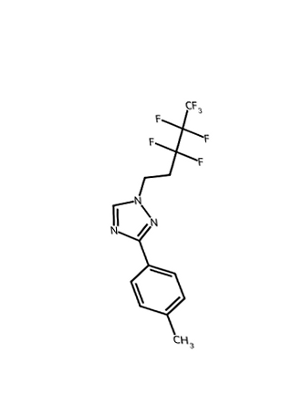 Cc1ccc(-c2ncn(CCC(F)(F)C(F)(F)C(F)(F)F)n2)cc1